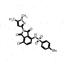 Cc1cc(N2C(=O)c3c(Cl)ccc(NS(=O)(=O)c4ccc(C(C)(C)C)cc4)c3C2=O)nn1C